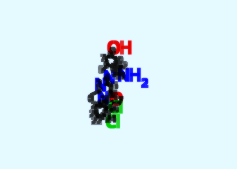 Cc1nc(N2CC3CC(O)C[C@]3(CN)C2)cc(=O)n1-c1cccc(Cl)c1Cl